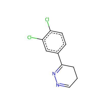 Clc1ccc(C2=NN=CCC2)cc1Cl